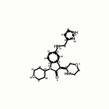 O=C1/C(=C2/COCCN2)c2cc(NCc3cc[nH]n3)ccc2N1C1CCOCC1